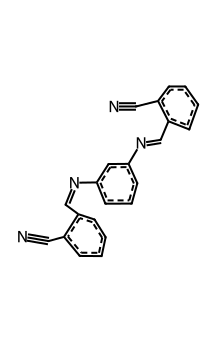 N#Cc1ccccc1/C=N\c1cccc(/N=C/c2ccccc2C#N)c1